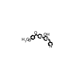 COc1ccc(C(=O)C2CCN(C3CCN(Cc4ccncc4)CC3O)CC2)cc1